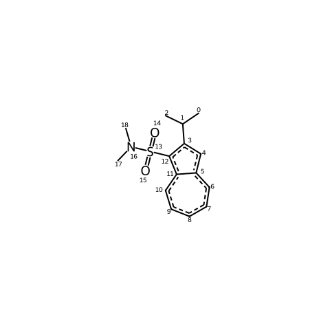 CC(C)c1cc2cccccc-2c1S(=O)(=O)N(C)C